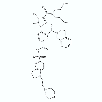 CCCCN(CCCC)C(=O)c1nn(-c2ccc(C(=O)NS(=O)(=O)c3ccc4c(c3)CCN4CCN3CCOCC3)cc2C(=O)N2CCc3ccccc3C2)c(C)c1Cl